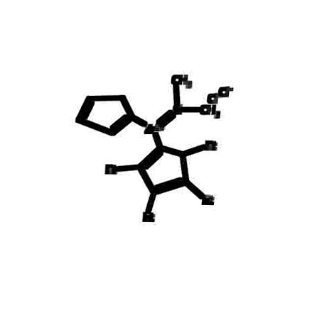 CCC1=C(CC)C(CC)[C]([Zr+2]([C]2=CC=CC2)=[Si](C)C)=C1CC.[Cl-].[Cl-]